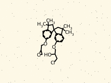 CC1(C)CC2(CC(C)(C)c3ccc(OCC4CO4)cc32)c2cc(OCC(O)CCl)ccc21